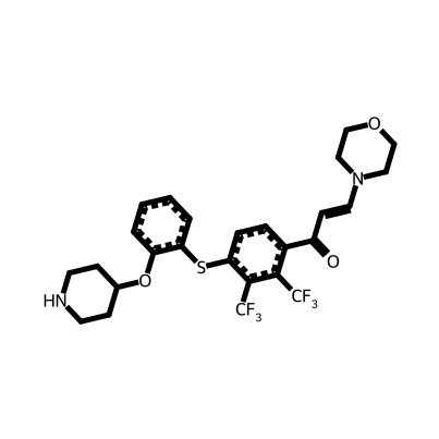 O=C(C=CN1CCOCC1)c1ccc(Sc2ccccc2OC2CCNCC2)c(C(F)(F)F)c1C(F)(F)F